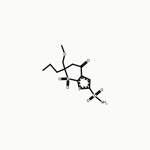 CCCC1(COC)CC(=O)c2cc(S(N)(=O)=O)sc2S1(=O)=O